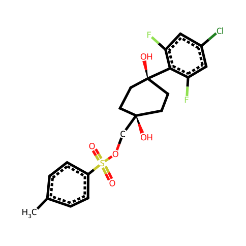 Cc1ccc(S(=O)(=O)OC[C@]2(O)CC[C@](O)(c3c(F)cc(Cl)cc3F)CC2)cc1